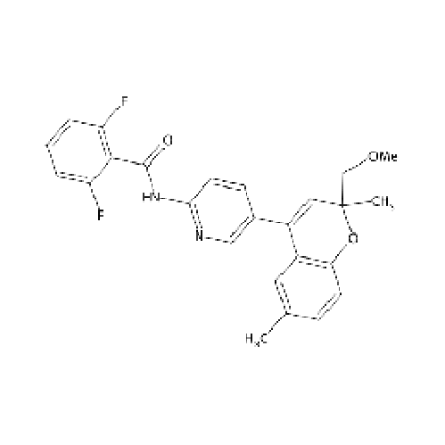 COCC1(C)C=C(c2ccc(NC(=O)c3c(F)cccc3F)nc2)c2cc(C)ccc2O1